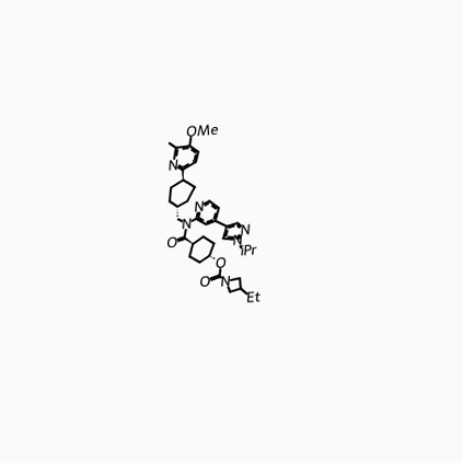 CCC1CN(C(=O)O[C@H]2CC[C@H](C(=O)N(C[C@H]3CC[C@H](c4ccc(OC)c(C)n4)CC3)c3cc(-c4cnn(C(C)C)c4)ccn3)CC2)C1